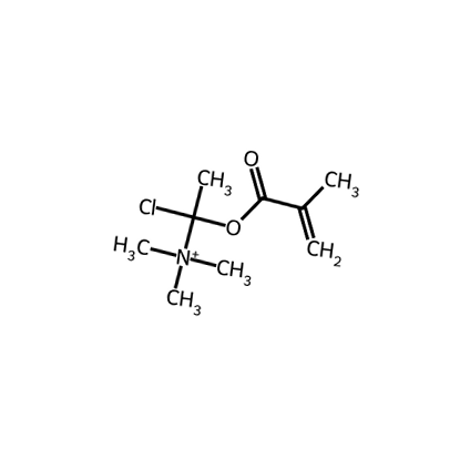 C=C(C)C(=O)OC(C)(Cl)[N+](C)(C)C